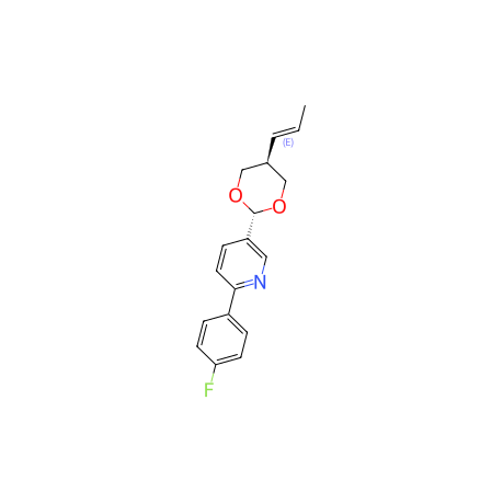 C/C=C/[C@H]1CO[C@H](c2ccc(-c3ccc(F)cc3)nc2)OC1